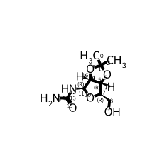 CC1(C)O[C@@H]2[C@H](O1)[C@@H](CO)O[C@H]2NC(N)=O